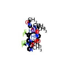 C=CC(=O)N1CC[C@H](C(=O)N(C)[C@H](C(=O)N[C@H]2Cc3cc(cc(C(F)F)c3)-c3ccc4c5c(c(-c6cccnc6[C@H](C)OC)n4CC(F)(F)F)CC(C)(COC(=O)[C@@H]4CCCN(N4)C2=O)[n+]35)C(C)C)C1